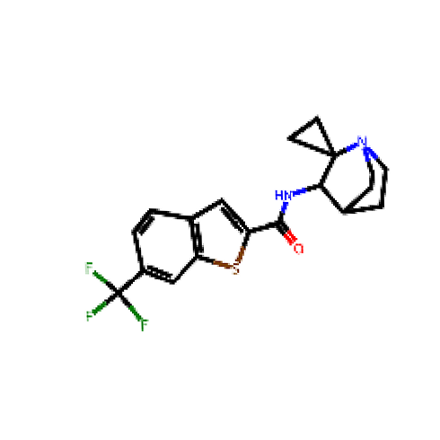 O=C(NC1C2CCN(CC2)C12CC2)c1cc2ccc(C(F)(F)F)cc2s1